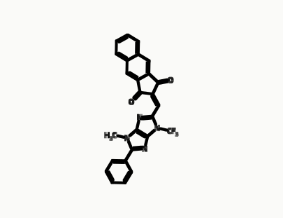 Cn1c(-c2ccccc2)nc2c1nc(C=C1C(=O)c3cc4ccccc4cc3C1=O)n2C(F)(F)F